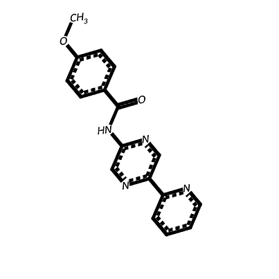 COc1ccc(C(=O)Nc2cnc(-c3ccccn3)cn2)cc1